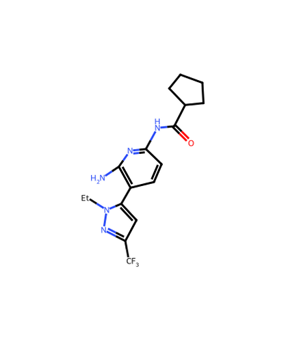 CCn1nc(C(F)(F)F)cc1-c1ccc(NC(=O)C2CCCC2)nc1N